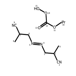 CC(C#N)CN=NCC(C)C#N.CC(C)OC(=O)OO